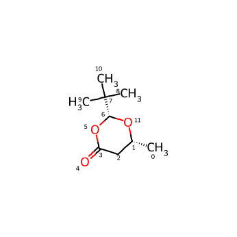 C[C@@H]1CC(=O)O[C@H](C(C)(C)C)O1